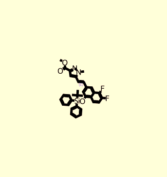 COC(=O)c1cc(/C=C/c2cc(O[Si](c3ccccc3)(c3ccccc3)C(C)(C)C)c3ccc(F)c(F)c3c2)n(C)n1